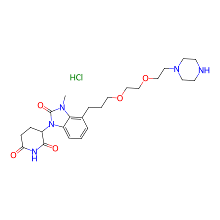 Cl.Cn1c(=O)n(C2CCC(=O)NC2=O)c2cccc(CCCOCCOCCN3CCNCC3)c21